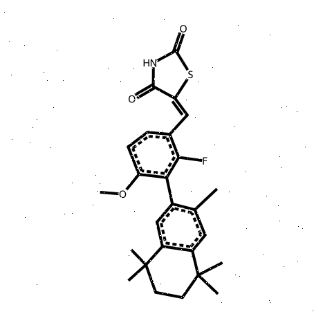 COc1ccc(C=C2SC(=O)NC2=O)c(F)c1-c1cc2c(cc1C)C(C)(C)CCC2(C)C